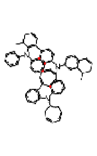 CC1CC=CC(c2ccc3c(c2)C2=C=C(C=CC(c4ccccc4N(C4=CC=CC=CC4)c4ccccc4)=C2)N3c2ccc3c(c2)C(C)CC=C3)=C1N(c1ccccc1)c1ccccc1